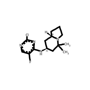 CC1(C)C[C@@H](Nc2nc(Cl)ncc2F)C[C@@H]2CCCN21